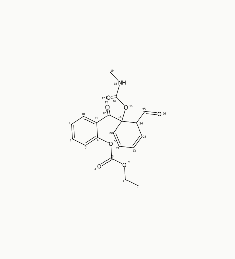 CCOC(=O)Oc1ccccc1C(=O)C1(OC(=O)NC)C=CC=CC1[C]=O